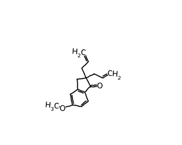 C=CCC1(CC=C)Cc2cc(OC)ccc2C1=O